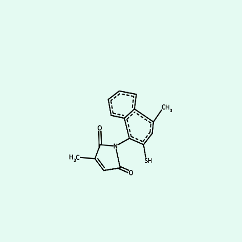 CC1=CC(=O)N(c2c(S)cc(C)c3ccccc23)C1=O